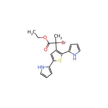 CCOC(=O)C(C)(Br)c1cc(-c2ccc[nH]2)sc1-c1ccc[nH]1